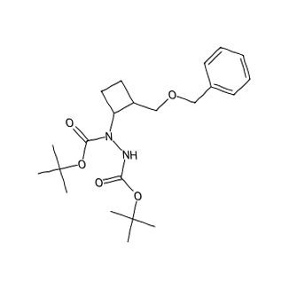 CC(C)(C)OC(=O)NN(C(=O)OC(C)(C)C)C1CCC1COCc1ccccc1